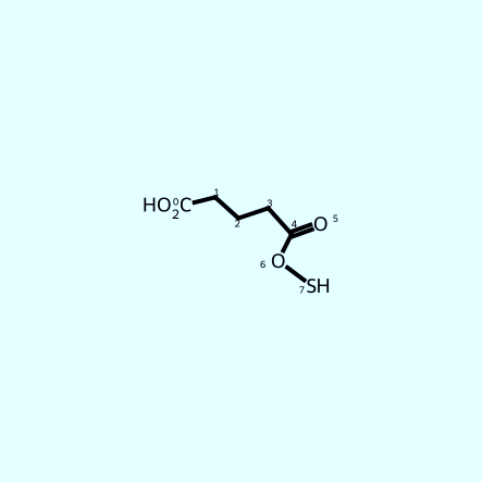 O=C(O)CCCC(=O)OS